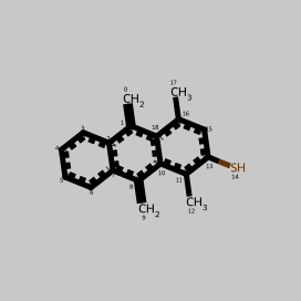 C=c1c2ccccc2c(=C)c2c(C)c(S)cc(C)c12